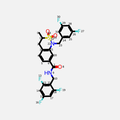 CC1Cc2ccc(C(=O)NCc3c(F)cc(F)cc3F)cc2N(Cc2cc(F)cc(F)c2)S1(=O)=O